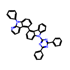 c1ccc(-c2nc(-c3ccccc3)nc(-n3c4ccccc4c4c(-c5cccc6c5c5cccnc5n6-c5ccccc5)cccc43)n2)cc1